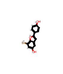 Oc1ccc(-c2cc3cc(O)cc(Br)c3o2)cc1